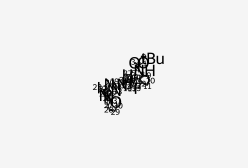 CC(C)(C)OC(=O)NC[C@]1(c2ccccc2F)[C@@H]2CCN(c3cnc4c(I)nn(C5CCCCO5)c4n3)C[C@@H]21